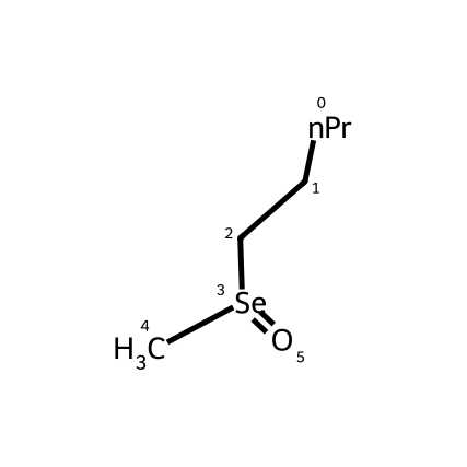 CCCCC[Se](C)=O